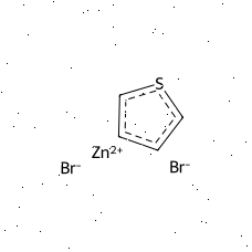 [Br-].[Br-].[Zn+2].c1ccsc1